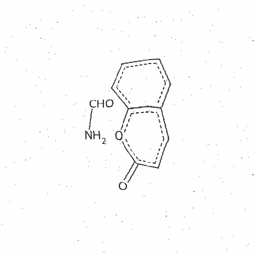 NC=O.O=c1ccc2ccccc2o1